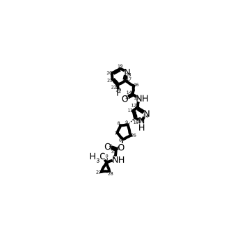 CC1(NC(=O)O[C@@H]2CC[C@H](c3cc(NC(=O)Cc4ncccc4F)n[nH]3)C2)CC1